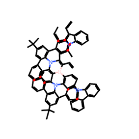 C=CC1=C(/C=C(\C)n2c(/C=C\C)c(C=C)c3ccccc32)N(c2c(-c3ccccc3)cc(C(C)(C)C)cc2-c2ccccc2)c2cccc3c2B1c1ccc(-n2c4ccccc4c4ccccc42)cc1N3c1c(-c2ccccc2)cc(C(C)(C)C)cc1-c1ccccc1